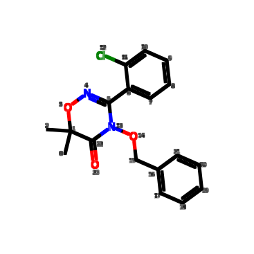 CC1(C)ON=C(c2ccccc2Cl)N(OCc2ccccc2)C1=O